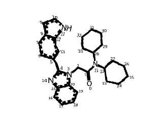 O=C(Cn1c(-c2ccc3cc[nH]c3c2)nc2ccccc21)N(C1CCCCC1)C1CCCCC1